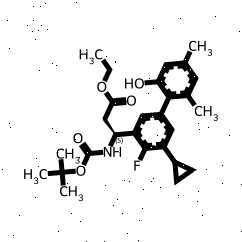 CCOC(=O)C[C@H](NC(=O)OC(C)(C)C)c1cc(-c2c(C)cc(C)cc2O)cc(C2CC2)c1F